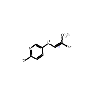 CCOC(=O)/C(=C\Nc1ccc(Cl)nc1)C(C)=O